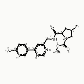 CC(C)(C)OC(=O)N1CC(F)CC1C(=O)NCc1cc(-c2ccc(C(F)(F)F)nc2)ncn1